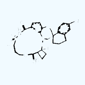 C[C@H]1CCCC(=O)[C@@H]2CC[C@H]2CN2C[C@@]3(CCCc4cc(Cl)ccc43)COc3ccc(cc32)C(=O)NS1(=O)=O